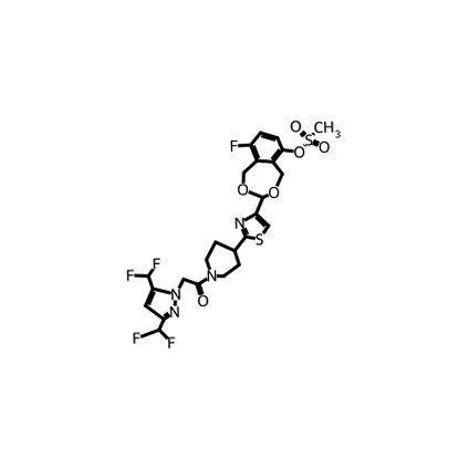 CS(=O)(=O)Oc1ccc(F)c2c1COC(c1csc(C3CCN(C(=O)Cn4nc(C(F)F)cc4C(F)F)CC3)n1)OC2